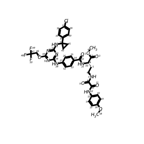 COC(=O)[C@H](CCNC(=O)C(=O)Nc1ccc(OC)cc1)NC(=O)c1ccc(Nc2nc(NC3(c4ccc(Cl)cc4)CC3)nc(OCC(F)(F)F)n2)cc1